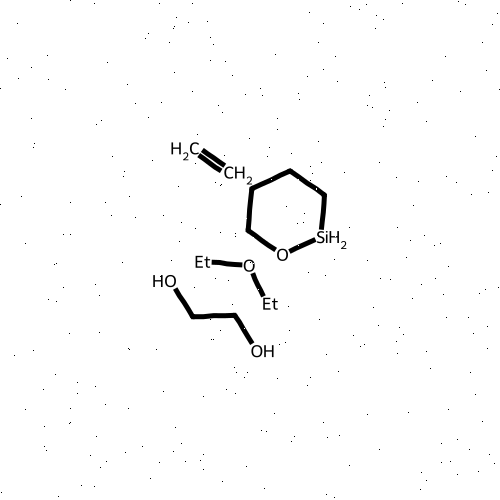 C1CC[SiH2]OC1.C=C.CCOCC.OCCO